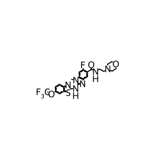 Cn1c(Nc2nc3ccc(OC(F)(F)F)cc3s2)nc2cc(C(=O)NCCN3CCOCC3)c(F)cc21